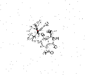 CO[C@H]1NC(=O)c2c([N+](=O)[O-])cc3c(c21)O[C@@]12C[C@@H](Br)C(=O)C(C)(C)[C@@H]1CC[C@H](C)[C@@]2(C)C3